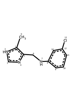 Cc1[nH]cnc1CNc1cccc(Cl)c1